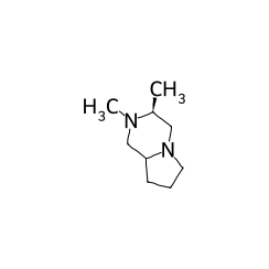 C[C@H]1CN2CCCC2CN1C